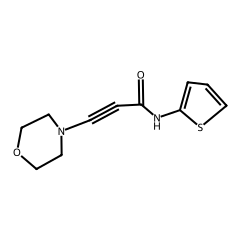 O=C(C#CN1CCOCC1)Nc1cccs1